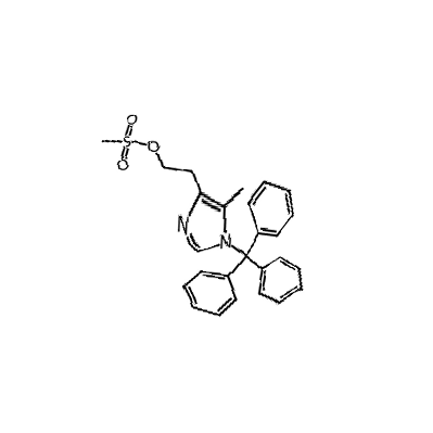 Cc1c(CCOS(C)(=O)=O)ncn1C(c1ccccc1)(c1ccccc1)c1ccccc1